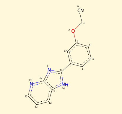 N#CCOc1cccc(-c2nc3ncccc3[nH]2)c1